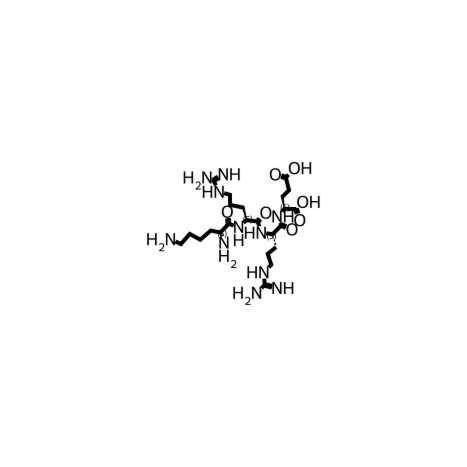 N=C(N)NCCC[C@H](NC(=O)[C@H](CCCNC(=N)N)NC(=O)[C@@H](N)CCCCN)C(=O)N[C@@H](CCC(=O)O)C(=O)O